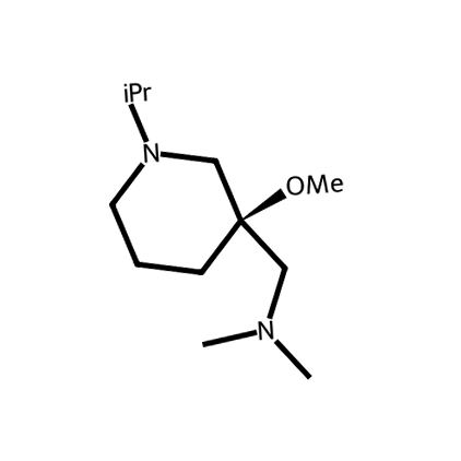 CO[C@@]1(CN(C)C)CCCN(C(C)C)C1